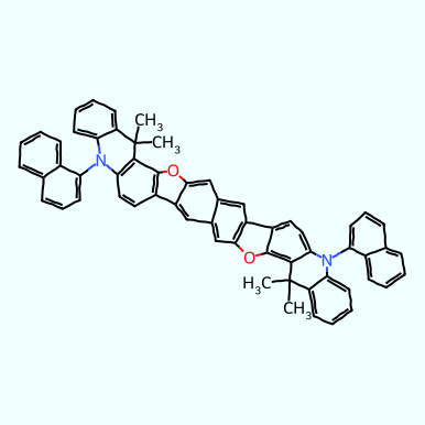 CC1(C)c2ccccc2N(c2cccc3ccccc23)c2ccc3c(oc4cc5cc6c(cc5cc43)oc3c4c(ccc36)N(c3cccc5ccccc35)c3ccccc3C4(C)C)c21